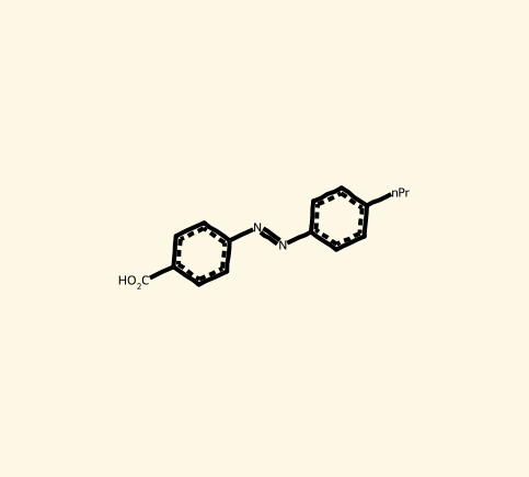 CCCc1ccc(/N=N/c2ccc(C(=O)O)cc2)cc1